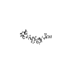 O=C(O)CCN1CCOC(c2ccc(OCCCc3c(F)cccc3Cl)cc2)C1